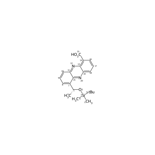 C[C@@H](O[Si](C)(C)C(C)(C)C)c1cccc2nc3c(C(=O)O)cccc3nc12